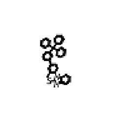 c1ccc(C(c2ccccc2)(c2ccccc2)c2cccc(-c3ccc4c(c3)CSc3nc5ccccc5n3-4)c2)cc1